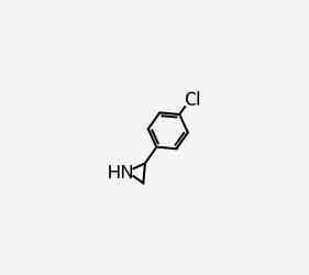 Clc1ccc(C2CN2)cc1